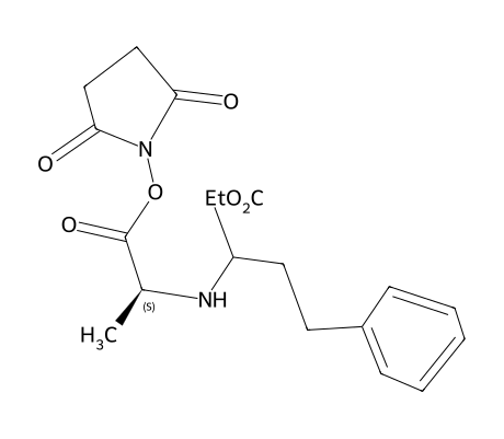 CCOC(=O)C(CCc1ccccc1)N[C@@H](C)C(=O)ON1C(=O)CCC1=O